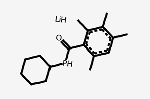 Cc1cc(C)c(C(=O)P[C]2CCCCC2)c(C)c1C.[LiH]